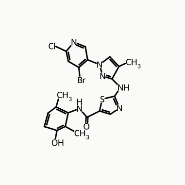 Cc1cn(-c2cnc(Cl)cc2Br)nc1Nc1ncc(C(=O)Nc2c(C)ccc(O)c2C)s1